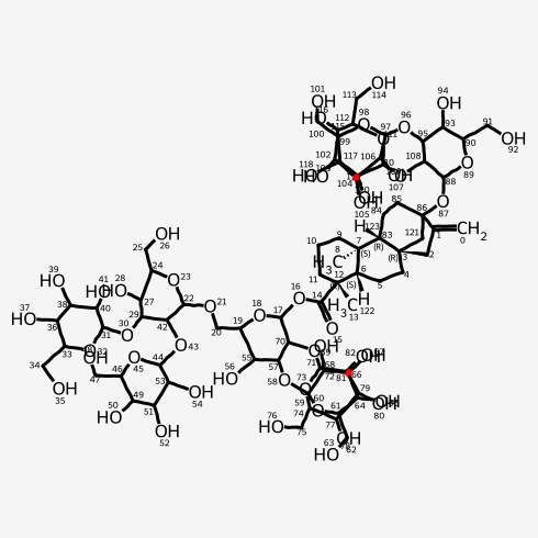 C=C1C[C@@]23CC[C@H]4[C@@](C)(CCC[C@@]4(C)C(=O)OC4OC(COC5OC(CO)C(O)C(OC6OC(CO)C(O)C(O)C6O)C5OC5OC(CO)C(O)C(O)C5O)C(O)C(OC5OC(CO)C(O)C(O)C5O)C4OC4OC(CO)C(O)C(O)C4O)[C@@H]2CCC1(OC1OC(CO)C(O)C(OC2OC(CO)C(O)C(O)C2O)C1OC1OC(CO)C(O)C(O)C1O)C3